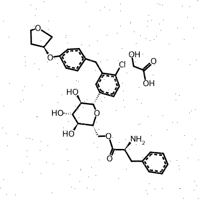 N[C@@H](Cc1ccccc1)C(=O)OC[C@H]1O[C@@H](c2ccc(Cl)c(Cc3ccc(O[C@H]4CCOC4)cc3)c2)[C@H](O)[C@@H](O)[C@@H]1O.O=C(O)CO